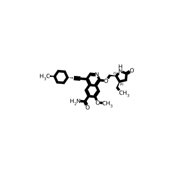 CC[C@@H]1CC(=O)N[C@@H]1COc1ncc(C#C[C@H]2CC[C@H](C)CC2)c2cc(C(N)=O)c(OC)cc12